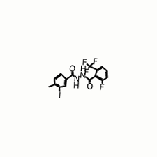 Cc1ccc(C(=O)NNC(=O)c2c(F)cccc2C(F)(F)F)cc1I